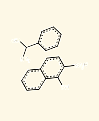 CCCCC(N)c1ccccc1.O=S(=O)(O)c1ccc2ccccc2c1O